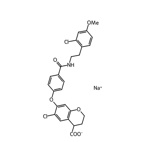 COc1ccc(CCNC(=O)c2ccc(Oc3cc4c(cc3Cl)C(C(=O)[O-])CCO4)cc2)c(Cl)c1.[Na+]